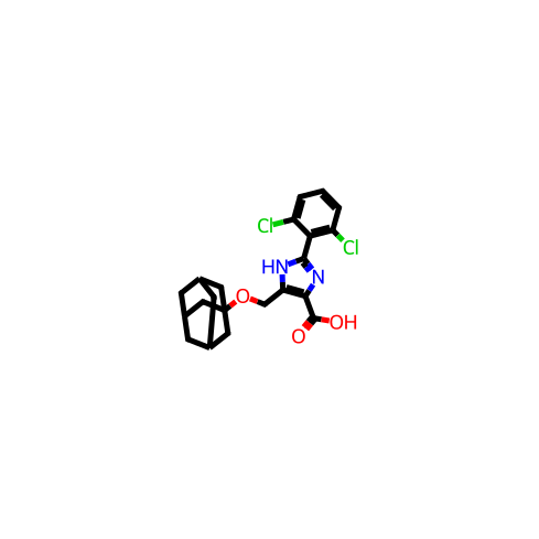 O=C(O)c1nc(-c2c(Cl)cccc2Cl)[nH]c1COC12CC3CC(CC(C3)C1)C2